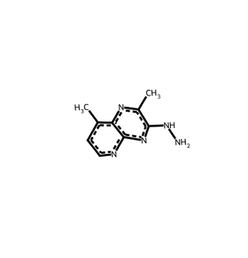 Cc1nc2c(C)ccnc2nc1NN